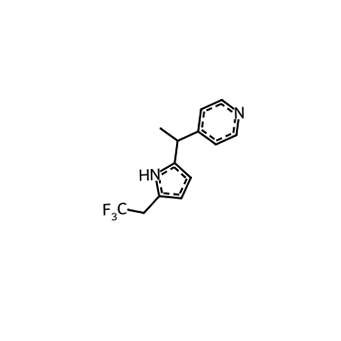 CC(c1ccncc1)c1ccc(CC(F)(F)F)[nH]1